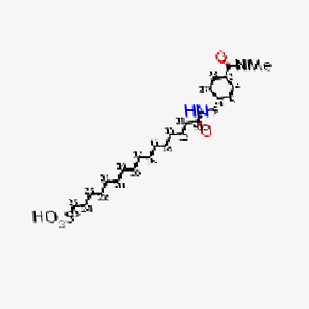 CNC(=O)[C@H]1CC[C@H](CNC(=O)CCCCCCCCCCCCCCCS(=O)(=O)O)CC1